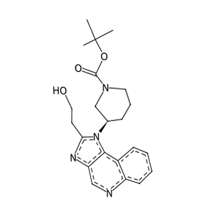 CC(C)(C)OC(=O)N1CCC[C@@H](n2c(CCO)nc3cnc4ccccc4c32)C1